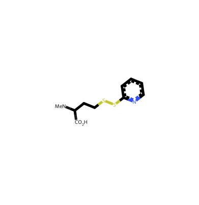 CNC(CCSSc1ccccn1)C(=O)O